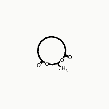 CC1COC(=O)CCCCCCCCCCC(=O)O1